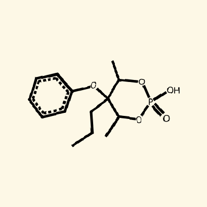 CCCC1(Oc2ccccc2)C(C)OP(=O)(O)OC1C